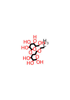 CCCOCC1OC(O)C(O)C(O)C1OC1OC(CO)C(O)C(O)C1O